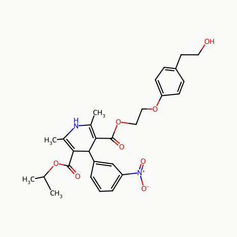 CC1=C(C(=O)OCCOc2ccc(CCO)cc2)C(c2cccc([N+](=O)[O-])c2)C(C(=O)OC(C)C)=C(C)N1